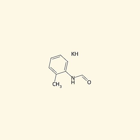 Cc1ccccc1NC=O.[KH]